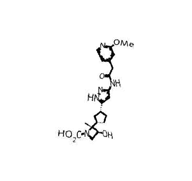 COc1cc(CC(=O)Nc2cc([C@@H]3CC[C@H]([C@]4(C)[C@@H](O)CN4C(=O)O)C3)[nH]n2)ccn1